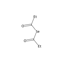 CCC(=O)[Se]C(=O)CC